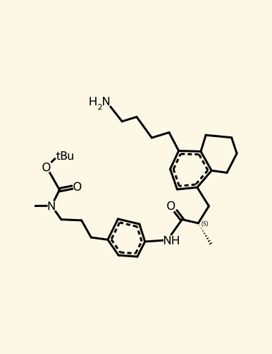 C[C@@H](Cc1ccc(CCCCN)c2c1CCCC2)C(=O)Nc1ccc(CCCN(C)C(=O)OC(C)(C)C)cc1